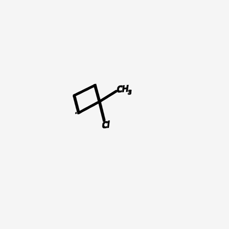 CC1(Cl)[CH]CC1